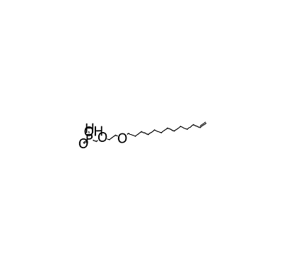 C=CCCCCCCCCCCCOCCOC[PH](=O)O